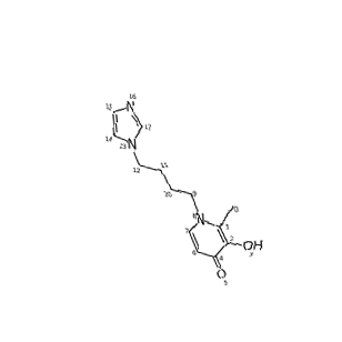 Cc1c(O)c(=O)ccn1CCCCn1ccnc1